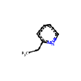 FC(F)(F)Cc1c[c]ccn1